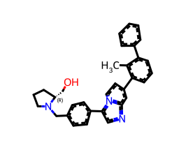 Cc1c(-c2ccccc2)cccc1-c1ccn2c(-c3ccc(CN4CCC[C@@H]4CO)cc3)cnc2c1